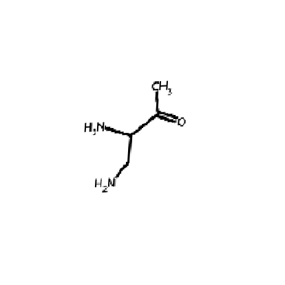 CC(=O)C(N)CN